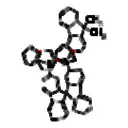 CC1(C)c2ccccc2-c2cc(N(c3ccccc3)c3ccc4c(c3)C3(c5ccccc5-c5ccc(N(c6ccccc6)c6ccccc6)cc53)c3ccccc3-4)ccc21